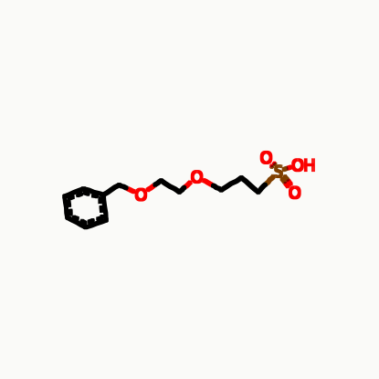 O=S(=O)(O)CCCOCCOCc1ccccc1